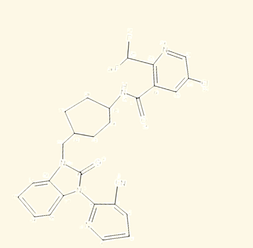 N#Cc1cccnc1-n1c(=O)n(CC2CCC(NC(=O)c3cc(Cl)cnc3C(F)F)CC2)c2ccccc21